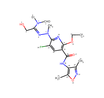 CCN(C=O)/C(CO)=N\N(C)c1nc(OCC(F)(F)F)c(C(=O)Nc2c(C)noc2C)cc1F